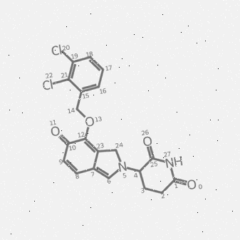 O=C1CCC(N2C=C3C=CC(=O)C(OCc4cccc(Cl)c4Cl)=C3C2)C(=O)N1